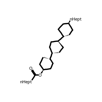 CCCCCCCC(=O)O[C@H]1CC[C@H]([C@H]2CC[C@H]([C@H]3CC[C@H](CCCCCCC)CC3)CC2)CC1